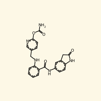 NC(=O)Oc1ccc(CNc2ccccc2C(=O)Nc2ccc3c(c2)CC(=O)N3)cn1